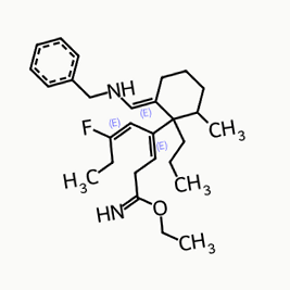 CCCC1(C(/C=C(/F)CC)=C/CC(=N)OCC)/C(=C/NCc2ccccc2)CCCC1C